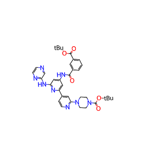 CC(C)(C)OC(=O)c1cccc(C(=O)Nc2cc(Nc3cnccn3)nc(-c3ccnc(N4CCN(C(=O)OC(C)(C)C)CC4)c3)c2)c1